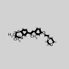 C/C(=C\c1ccc(OCCN2CCOCC2)cc1)c1ccc2c(c1)SCC(C)(C)CS2